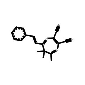 CC1=NC(C#N)=C(C#N)N=C(/C=C/c2ccccc2)C1(C)C